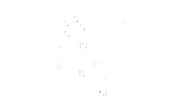 CC(C)[C@H](O)C(NCc1cc(Cl)ccc1-n1cnnn1)C(=O)N1CCC[C@H]1C(N)=O